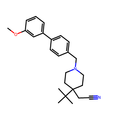 COc1cccc(-c2ccc(CN3CCC(CC#N)(C(C)(C)C)CC3)cc2)c1